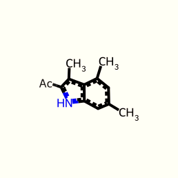 CC(=O)c1[nH]c2cc(C)cc(C)c2c1C